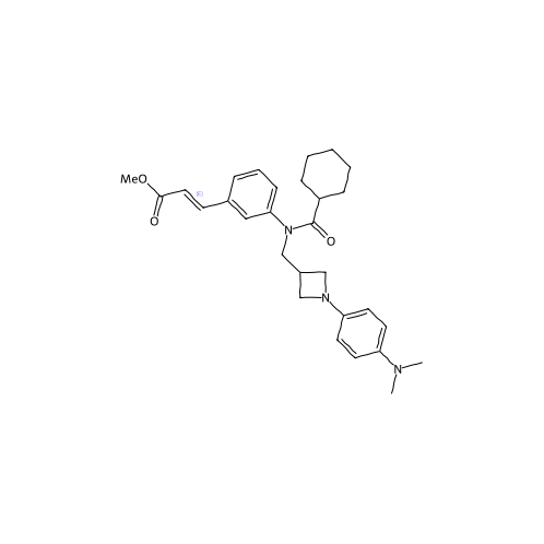 COC(=O)/C=C/c1cccc(N(CC2CN(c3ccc(N(C)C)cc3)C2)C(=O)C2CCCCC2)c1